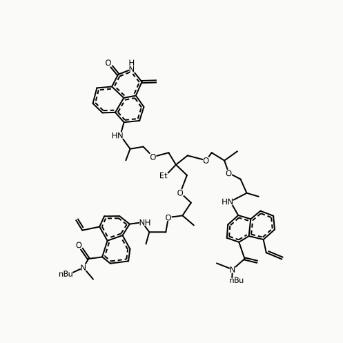 C=Cc1cccc2c(NC(C)COC(C)COCC(CC)(COCC(C)Nc3ccc4c(=C)[nH]c(=O)c5cccc3c45)COCC(C)OCC(C)Nc3ccc(C=C)c4c(C(=O)N(C)CCCC)cccc34)ccc(C(=C)N(C)CCCC)c12